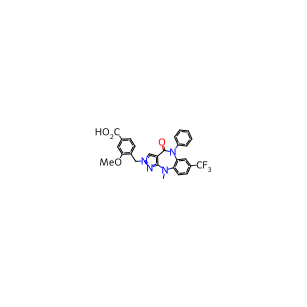 COc1cc(C(=O)O)ccc1Cn1cc2c(n1)N(C)c1ccc(C(F)(F)F)cc1N(c1ccccc1)C2=O